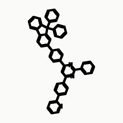 c1ccc(-c2nc(-c3ccc(-c4ccc5c(c4)C(c4ccccc4)(c4ccccc4)c4ccccc4-5)cc3)cc(-c3ccc(-c4ccccn4)cc3)n2)cc1